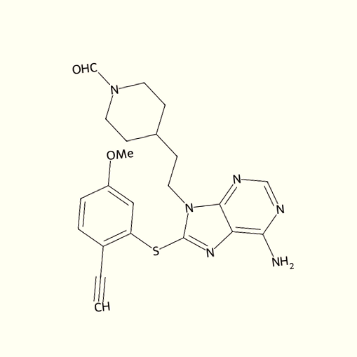 C#Cc1ccc(OC)cc1Sc1nc2c(N)ncnc2n1CCC1CCN(C=O)CC1